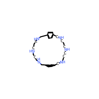 c1cc2ccc1CNCCCNCCCNCc1ccc(cc1)CNCCCNCCCNC2